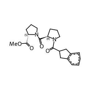 COC(=O)[C@@H]1CCCN1C(=O)[C@H]1CCCN1C(=O)C1Cc2ccccc2C1